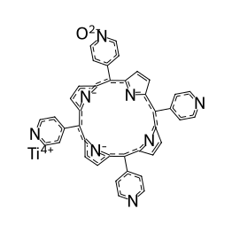 C1=Cc2nc1c(-c1ccncc1)c1nc(c(-c3ccncc3)c3ccc([n-]3)c(-c3ccncc3)c3ccc([n-]3)c2-c2ccncc2)C=C1.[O-2].[Ti+4]